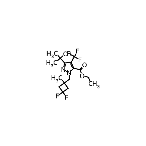 CCOC(=O)c1c(C(F)(F)F)c(C(C)(C)C)nn1CC1(C)CC(F)(F)C1